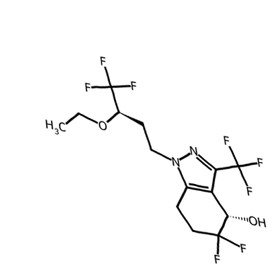 CCO[C@H](CCn1nc(C(F)(F)F)c2c1CCC(F)(F)[C@H]2O)C(F)(F)F